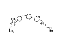 C=CC/N=C(/C)Nc1ccc(Cc2ccc(C3=CCC(CNCCNC(C)CC)N=C3)cc2)cc1